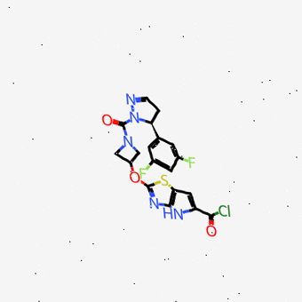 O=C(Cl)c1cc2sc(OC3CN(C(=O)N4N=CC[C@H]4c4cc(F)cc(F)c4)C3)nc2[nH]1